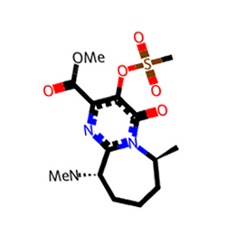 CN[C@H]1CCC[C@H](C)n2c1nc(C(=O)OC)c(OS(C)(=O)=O)c2=O